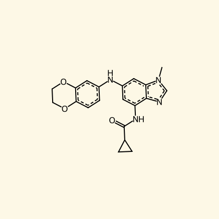 Cn1cnc2c(NC(=O)C3CC3)cc(Nc3ccc4c(c3)OCCO4)cc21